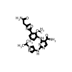 COc1c(Nc2nc(Nc3cnn(C(C)C)c3)ncc2C(N)=O)cccc1-c1nc(CC(N)=O)co1